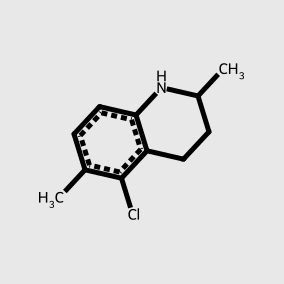 Cc1ccc2c(c1Cl)CCC(C)N2